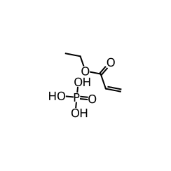 C=CC(=O)OCC.O=P(O)(O)O